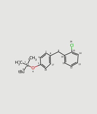 CC(C)(C)[Si](C)(C)Oc1ccc(Cc2c[c]ccc2Cl)cc1